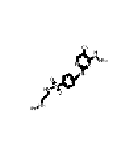 CCCCNc1nc(Nc2ccc(S(=O)(=O)NCCNC(C)C)cc2)ncc1C#N